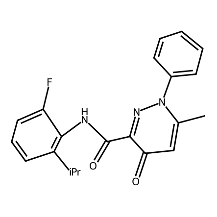 Cc1cc(=O)c(C(=O)Nc2c(F)cccc2C(C)C)nn1-c1ccccc1